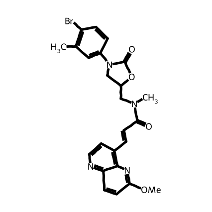 COc1ccc2nccc(C=CC(=O)N(C)CC3CN(c4ccc(Br)c(C)c4)C(=O)O3)c2n1